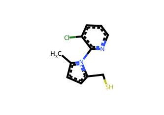 Cc1ccc(CS)n1-c1ncccc1Cl